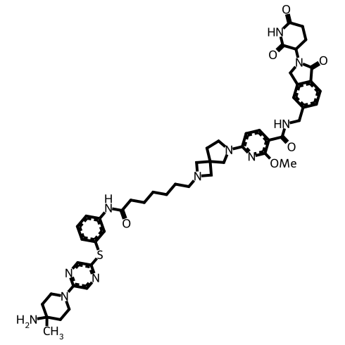 COc1nc(N2CCC3(CN(CCCCCCC(=O)Nc4cccc(Sc5cnc(N6CCC(C)(N)CC6)cn5)c4)C3)C2)ccc1C(=O)NCc1ccc2c(c1)CN(C1CCC(=O)NC1=O)C2=O